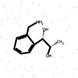 C[C@H](O)[C@@H](O)c1ccccc1CN